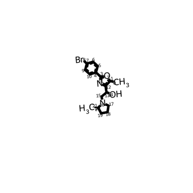 Cc1oc(-c2ccc(Br)cc2)nc1C(O)CN1CCC[C@H]1C